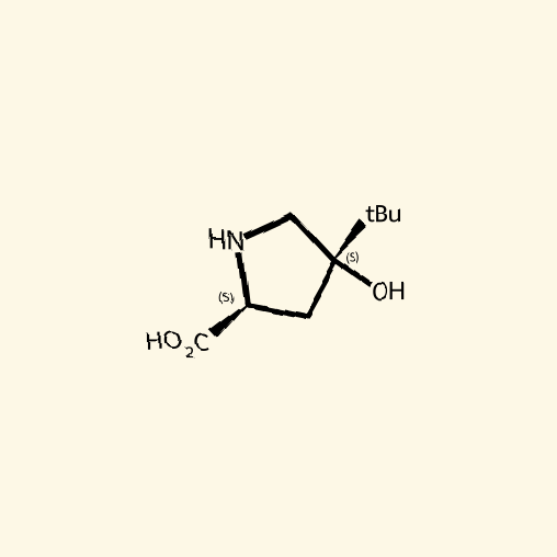 CC(C)(C)[C@]1(O)CN[C@H](C(=O)O)C1